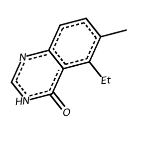 CCc1c(C)ccc2nc[nH]c(=O)c12